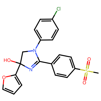 CS(=O)(=O)c1ccc(C2=NC(O)(c3ccco3)CN2c2ccc(Cl)cc2)cc1